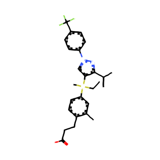 CCS(C)(c1ccc(CCC(=O)O)c(C)c1)c1cn(-c2ccc(C(F)(F)F)cc2)nc1C(C)C